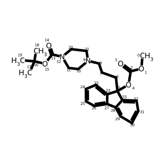 COC(=O)OC1(CCCN2CCN(C(=O)OC(C)(C)C)CC2)c2ccccc2-c2ccccc21